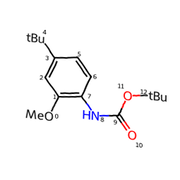 COc1cc(C(C)(C)C)ccc1NC(=O)OC(C)(C)C